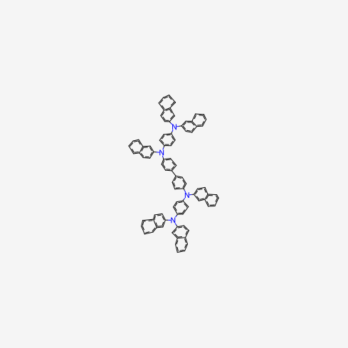 c1ccc2cc(N(c3ccc(-c4ccc(N(c5ccc(N(c6ccc7ccccc7c6)c6ccc7ccccc7c6)cc5)c5ccc6ccccc6c5)cc4)cc3)c3ccc(N(c4ccc5ccccc5c4)c4ccc5ccccc5c4)cc3)ccc2c1